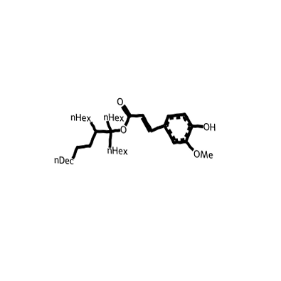 CCCCCCCCCCCCC(CCCCCC)C(CCCCCC)(CCCCCC)OC(=O)C=Cc1ccc(O)c(OC)c1